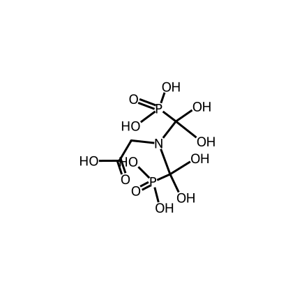 O=C(O)CN(C(O)(O)P(=O)(O)O)C(O)(O)P(=O)(O)O